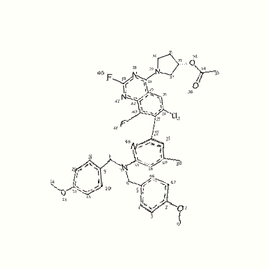 COc1ccc(CN(Cc2ccc(OC)cc2)c2cc(C)cc(-c3c(Cl)cc4c(N5CC[C@H](OC(C)=O)C5)nc(F)nc4c3F)n2)cc1